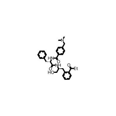 CCC(=O)c1ccccc1C[C@@H](CO)NC(=O)[C@H](Cc1ccccc1)NC(=O)c1ccc(CN(C)C)cc1